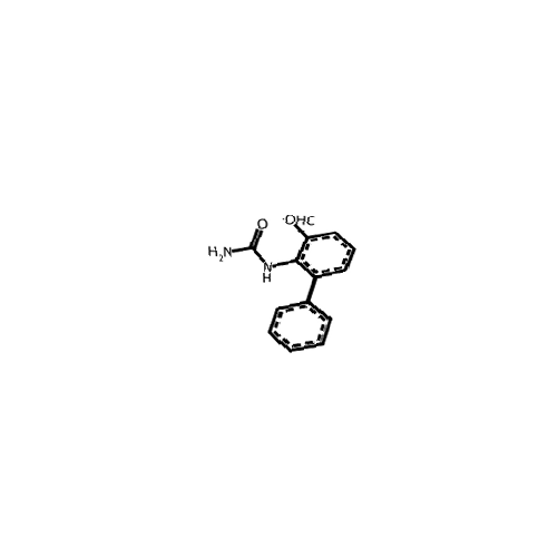 NC(=O)Nc1c([C]=O)cccc1-c1ccccc1